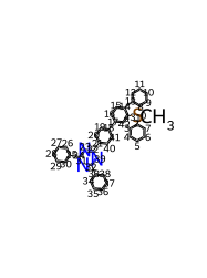 CS1(c2ccccc2)c2ccccc2-c2ccc(-c3ccc(-c4nc(-c5ccccc5)nc(-c5ccccc5)n4)cc3)cc21